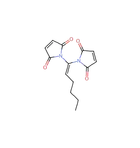 CCCCC=C(N1C(=O)C=CC1=O)N1C(=O)C=CC1=O